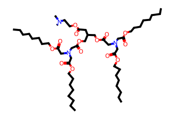 CCCCCCCCOC(=O)CN(CC(=O)OCCCCCCCC)CC(=O)OCC(COC(=O)CN(CC(=O)OCCCCCCCC)CC(=O)OCCCCCCCC)CC(=O)OCCN(C)C